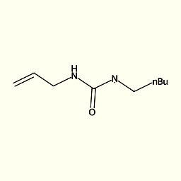 C=CCNC(=O)[N]CCCCC